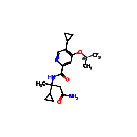 C[C@H](Oc1cc(C(=O)NC(C)(CC(N)=O)C2CC2)ncc1C1CC1)C(F)(F)F